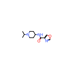 CC(C)N1CCC(NC(=O)c2cocn2)CC1